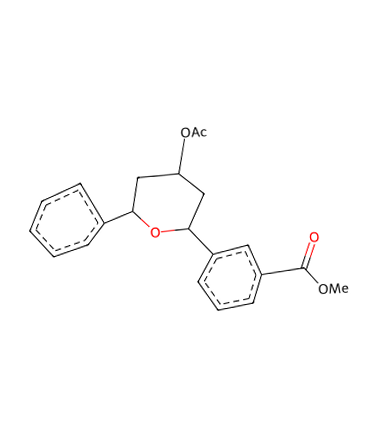 COC(=O)c1cccc(C2CC(OC(C)=O)CC(c3ccccc3)O2)c1